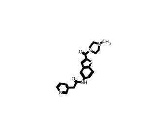 CN1CCN(C(=O)c2cc3cc(NC(=O)Cc4cccnc4)ccc3s2)CC1